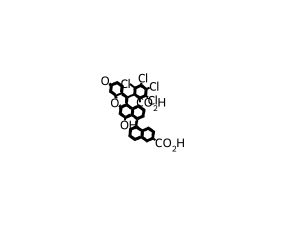 O=C(O)c1ccc2c(-c3cccc4c3c(O)cc3oc5cc(=O)ccc-5c(-c5c(Cl)c(Cl)c(Cl)c(Cl)c5C(=O)O)c34)cccc2c1